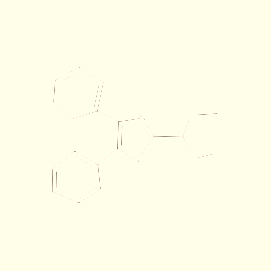 COC(OC)c1nc(-c2ccccc2)c(-c2ccccc2)[nH]1